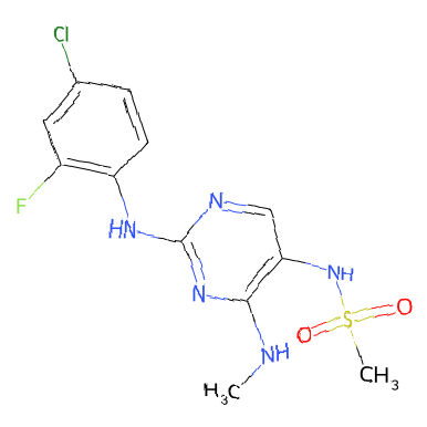 CNc1nc(Nc2ccc(Cl)cc2F)ncc1NS(C)(=O)=O